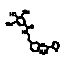 CC(C)(C)c1cc(C(=O)NCCc2cccc(NC(N)c3cccs3)c2)cc(C(C)(C)C)c1O